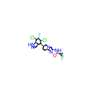 O=C(Nc1cn2cc(-c3c(Cl)c(F)c(Cl)c4[nH]ncc34)ccc2n1)[C@@H]1C[C@@H]1F